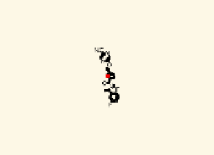 CC(c1cc(F)ccc1F)N(C)C(=O)C12CC(COc3cnc(C#N)cn3)C(C1)C2